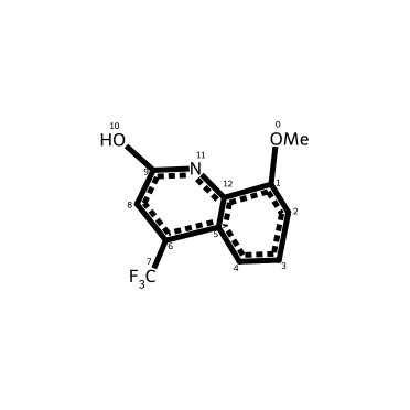 COc1cccc2c(C(F)(F)F)cc(O)nc12